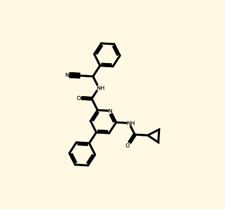 N#CC(NC(=O)c1cc(-c2ccccc2)cc(NC(=O)C2CC2)n1)c1ccccc1